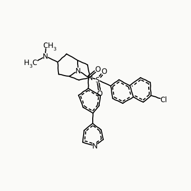 CN(C)C1CC2CN(S(=O)(=O)c3ccc4cc(Cl)ccc4c3)CC(C1)N2C(=O)c1ccc(-c2ccncc2)cc1